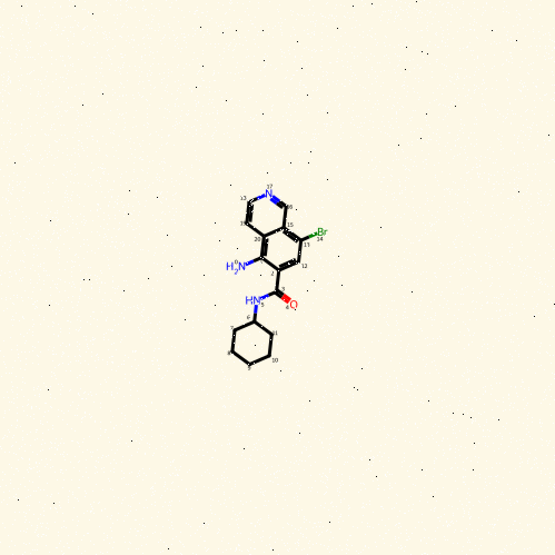 Nc1c(C(=O)NC2CCCCC2)cc(Br)c2cnccc12